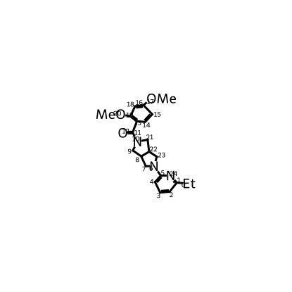 CCc1cccc(N2CC3CN(C(=O)c4ccc(OC)cc4OC)CC3C2)n1